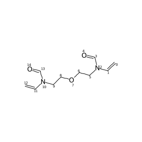 C=CN(C=O)CCOCCN(C=C)C=O